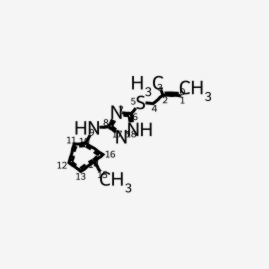 C/C=C(\C)CSc1nc(Nc2cccc(C)c2)n[nH]1